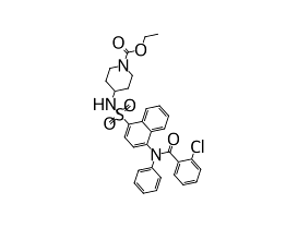 CCOC(=O)N1CCC(NS(=O)(=O)c2ccc(N(C(=O)c3ccccc3Cl)c3ccccc3)c3ccccc23)CC1